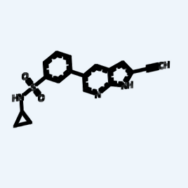 C#Cc1cc2cc(-c3cccc(S(=O)(=O)NC4CC4)c3)cnc2[nH]1